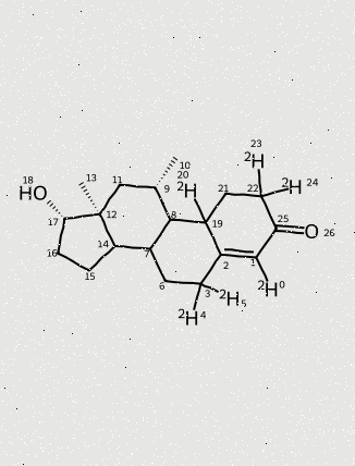 [2H]C1=C2C([2H])([2H])CC3C([C@@H](C)C[C@@]4(C)C3CC[C@@H]4O)C2([2H])CC([2H])([2H])C1=O